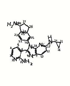 Nc1ncccc1-c1nc2ccc(NC3CC3)nc2n1-c1ccc2c(c1)CC[C@@H]2N